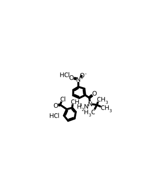 CC(C)(C)N(N)C(=O)c1cccc([N+](=O)[O-])c1.Cc1ccccc1C(=O)Cl.Cl.Cl